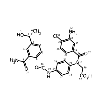 C[C@@H](O)c1cccc(C(N)=O)c1.Nc1cc(C(=O)N(CC(=O)O)c2ccc(NC=O)cc2)ccc1Cl